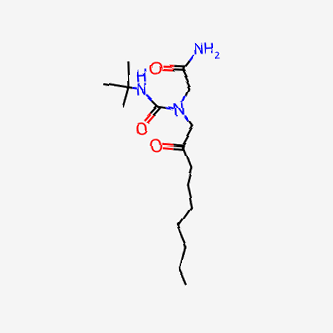 CCCCCCCC(=O)CN(CC(N)=O)C(=O)NC(C)(C)C